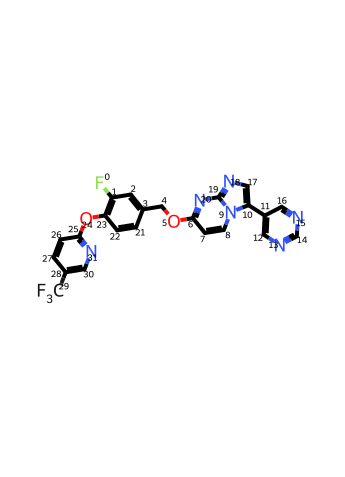 Fc1cc(COc2ccn3c(-c4cncnc4)cnc3n2)ccc1Oc1ccc(C(F)(F)F)cn1